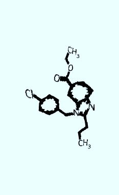 CCCc1nc2ccc(C(=O)OCC)cc2n1Cc1ccc(Cl)cc1